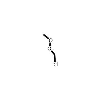 COOCCl